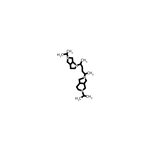 CC(C)N1CCC2CN(C(C)CCC(C)N3CCC4CN(C(C)C)CC43)CC2C1